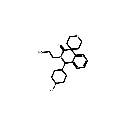 CC(C)[C@H]1CC[C@@H](C2c3ccccc3C3(CCNCC3)C(=O)N2CCO)CC1